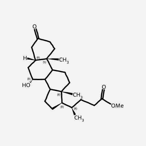 COC(=O)CC[C@@H](C)[C@H]1CCC2C3C(CC[C@@]21C)[C@@]1(C)CCC(=O)C[C@H]1C[C@H]3O